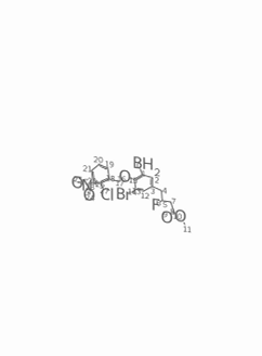 Bc1cc(CC(F)CC(=O)OC)cc(Br)c1OCc1cccc([N+](=O)[O-])c1Cl